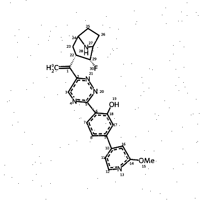 C=C(c1cnc(-c2ccc(-c3ccnc(OC)c3)cc2O)nn1)[C@@H]1CC2CCC(N2)[C@@H]1F